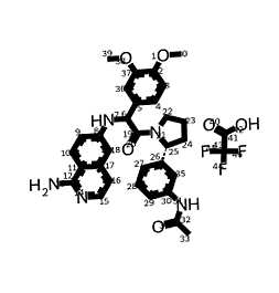 COc1ccc(C(Nc2ccc3c(N)nccc3c2)C(=O)N2CCC[C@@H]2c2cccc(NC(C)=O)c2)cc1OC.O=C(O)C(F)(F)F